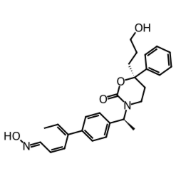 C\C=C(/C=C\C=N\O)c1ccc([C@H](C)N2CC[C@](CCCO)(c3ccccc3)OC2=O)cc1